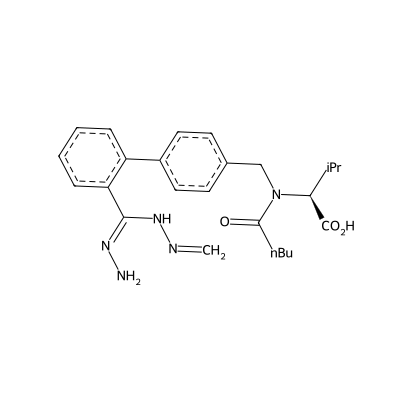 C=NN/C(=N\N)c1ccccc1-c1ccc(CN(C(=O)CCCC)[C@H](C(=O)O)C(C)C)cc1